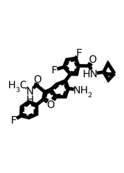 CNC(=O)c1c(-c2ccc(F)cc2)oc2cc(N)c(-c3cc(C(=O)NC45CC(C4)C5)c(F)cc3F)cc12